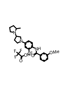 COc1cccc(C(=O)Nc2ccc(N3CCC(N4CCCC4C)C3)cc2C(F)(F)F)c1.O=C(O)C(F)(F)F